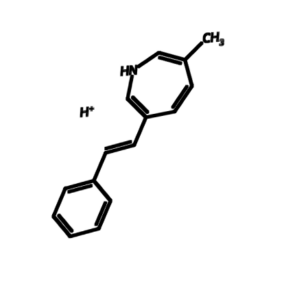 CC1=CNC=C(C=Cc2ccccc2)C=C1.[H+]